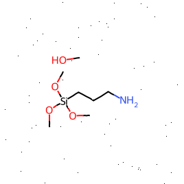 CO.CO[Si](CCCN)(OC)OC